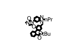 CCCc1nc2ccc(N3C(=O)CN(C)C3=O)cc2n1Cc1ccc(-c2ccccc2C(=O)OC(C)(C)C)cc1